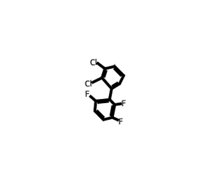 Fc1ccc(F)c(-c2cc[c]c(Cl)c2Cl)c1F